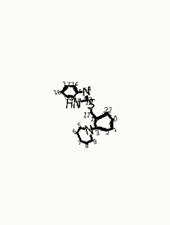 c1ccc(N2CCCCC2)c(CSc2nc3ccccc3[nH]2)c1